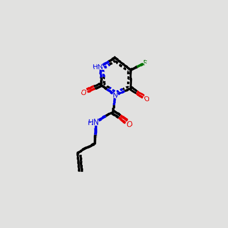 C=CCNC(=O)n1c(=O)[nH]cc(F)c1=O